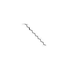 [CH2][CH]C/C=C/CCCCCCCCCCC